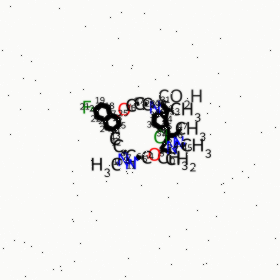 C=CC1(C)OCc2cc(n(C)n2)CCc2cc(c3ccc(F)cc3c2)OCCCn2c(C(=O)O)c(C)c3c(c(Cl)ccc32)-c2c1nn(C)c2C